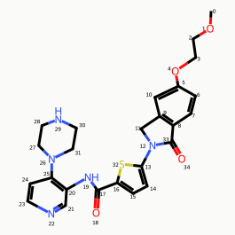 COCCOc1ccc2c(c1)CN(c1ccc(C(=O)Nc3cnccc3N3CCNCC3)s1)C2=O